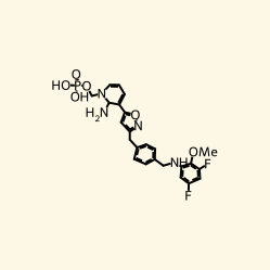 COc1c(F)cc(F)cc1NCc1ccc(Cc2cc(C3=CC=CN(COP(=O)(O)O)C3N)on2)cc1